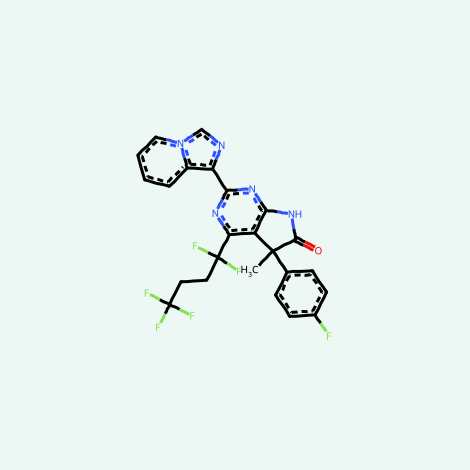 CC1(c2ccc(F)cc2)C(=O)Nc2nc(-c3ncn4ccccc34)nc(C(F)(F)CCC(F)(F)F)c21